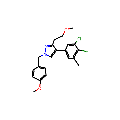 COCCc1nn(Cc2ccc(OC)cc2)cc1-c1cc(C)c(F)c(Cl)c1